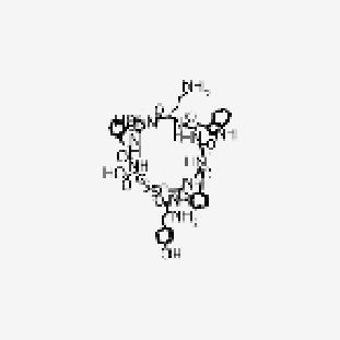 C[C@@H]1NC(=O)[C@H](Cc2ccccc2)NC(=O)[C@@H](NC(=O)[C@@H](N)Cc2ccc(O)cc2)CSSC[C@@H](C(=O)O)NC(=O)[C@H](Cc2ccccc2)NC(=O)[C@H]([C@@H](C)O)NC(=O)[C@H](CCCCN)NC(=O)[C@@H](Cc2c[nH]c3ccccc23)NC1=O